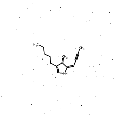 C=c1c(CCCCC)c[nH]/c1=C/C#CC